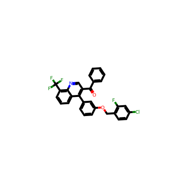 O=C(c1ccccc1)c1cnc2c(C(F)(F)F)cccc2c1-c1cccc(OCc2ccc(Cl)cc2F)c1